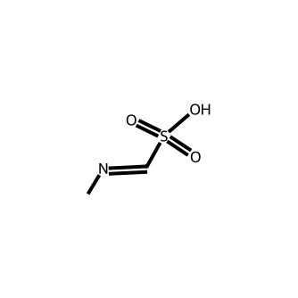 CN=CS(=O)(=O)O